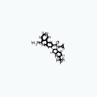 Nc1nc2ccc(C(=O)N(C3CC3)C3CCc4nc(C(F)(F)F)ccc43)cc2c2cnccc12